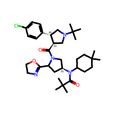 CC1(C)CCC(N(C(=O)C(C)(C)C)[C@H]2CC(C3=NCCO3)N(C(=O)[C@@H]3CN(C(C)(C)C)C[C@H]3c3ccc(Cl)cc3)C2)CC1